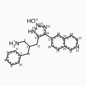 Cl.NCC(Cc1ccccc1)Cc1[nH]nnc1-c1ccc2cnccc2c1